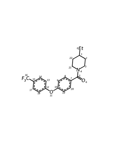 CCC1CCN(C(=O)c2ccc(Oc3ccc(C(F)(F)F)cc3)cc2)CC1